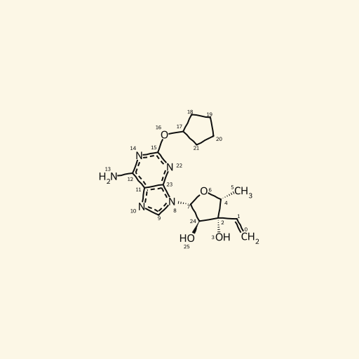 C=C[C@]1(O)[C@@H](C)O[C@@H](n2cnc3c(N)nc(OC4CCCC4)nc32)[C@@H]1O